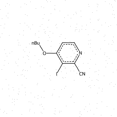 CCCCOc1ccnc(C#N)c1I